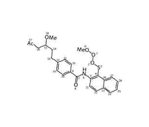 COOOSc1c(NC(=O)c2ccc(CCC(CC(C)=O)OC)cc2)ccc2ccccc12